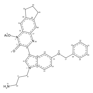 CC(=O)On1c(=O)c(-c2cn(CCCN)c3ccc(OCc4ccccc4)cc23)nc2cc3c(cc21)CCC3